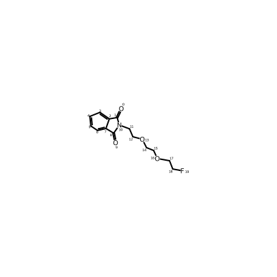 O=C1c2ccccc2C(=O)N1CCOCCOCCF